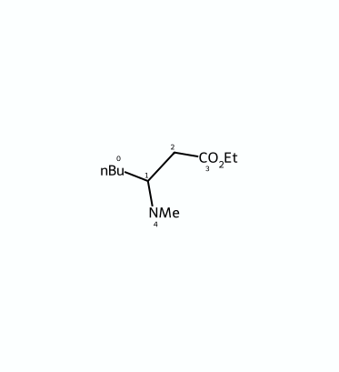 CCCCC(CC(=O)OCC)NC